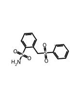 NS(=O)(=O)c1ccccc1CS(=O)(=O)c1[c]cccc1